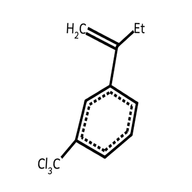 C=C(CC)c1cccc(C(Cl)(Cl)Cl)c1